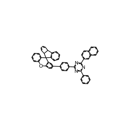 C1=CC2c3ccccc3C3(c4ccccc4Oc4ccc(-c5ccc(-c6nc(-c7ccccc7)nc(-c7ccc8ccccc8c7)n6)cc5)cc43)C2C=C1